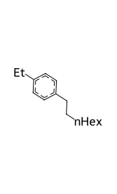 [CH2]Cc1ccc(CCCCCCCC)cc1